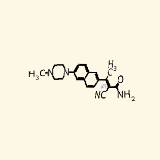 C/C(=C(/C#N)C(N)=O)c1ccc2cc(N3CCN(C)CC3)ccc2c1